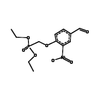 CCOP(=O)(COc1ccc(C=O)cc1[N+](=O)[O-])OCC